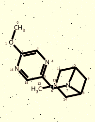 COc1cnc(CN2C3CC2CN(C)C3)cn1